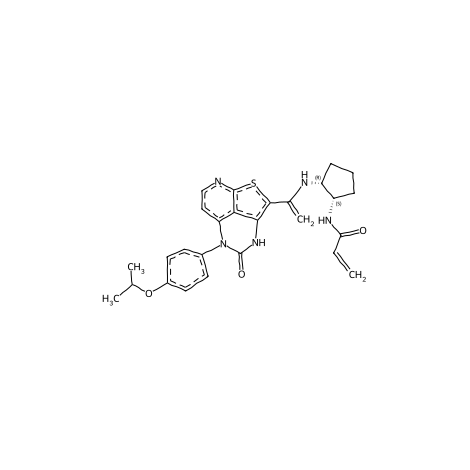 C=CC(=O)N[C@H]1CCC[C@H]1NC(=C)c1sc2nccc3c2c1NC(=O)N3c1ccc(OC(C)C)cc1